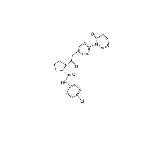 O=C(Nc1ccc(Cl)cc1)[C@@H]1CCCN1C(=O)Cc1ccc(-n2ccccc2=O)cc1